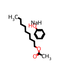 CCCCCCCCCOC(C)=O.Oc1ccccc1.[NaH]